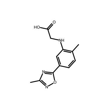 Cc1noc(-c2ccc(C)c(NCC(=O)O)c2)n1